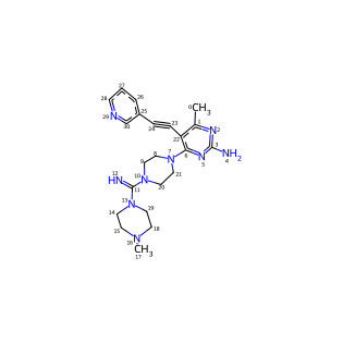 Cc1nc(N)nc(N2CCN(C(=N)N3CCN(C)CC3)CC2)c1C#Cc1cccnc1